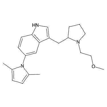 COCCN1CCCC1Cc1c[nH]c2ccc(-n3c(C)ccc3C)cc12